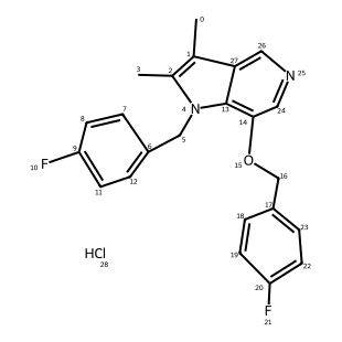 Cc1c(C)n(Cc2ccc(F)cc2)c2c(OCc3ccc(F)cc3)cncc12.Cl